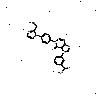 CNCc1nccn1-c1ccc(-n2cnc3ncn(-c4cccc(C(N)=O)c4)c3c2=O)cc1